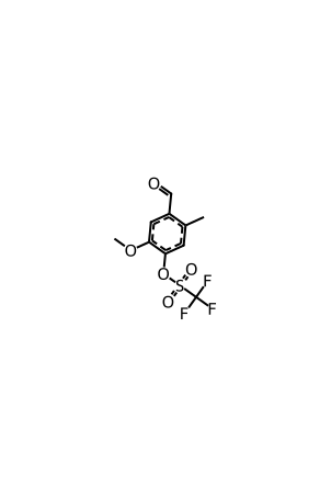 COc1cc(C=O)c(C)cc1OS(=O)(=O)C(F)(F)F